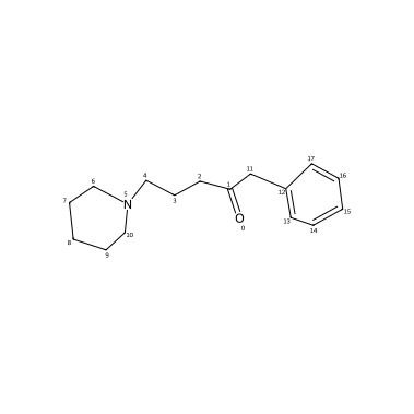 O=C(CCCN1CCCCC1)Cc1ccccc1